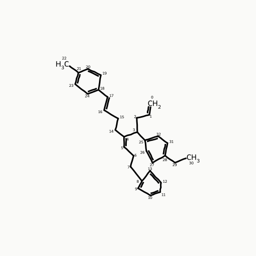 C=CCC(C(=CCCc1ccccc1)CCC=Cc1ccc(C)cc1)c1ccc(CC)cc1